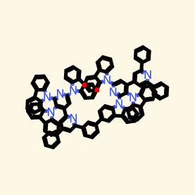 c1ccc(-c2cc(-c3cccc(-c4ccc5c(c4)c4ccccc4n5-c4nc(-n5c6ccccc6c6ccccc65)cc(-c5cc(-c6ccccc6)nc(-c6ccccc6)c5)c4-n4c5ccccc5c5ccccc54)c3)nc(-c3cc(-n4c5ccccc5c5ccccc54)nc(-n4c5ccccc5c5ccccc54)c3-n3c4ccccc4c4ccccc43)c2)cc1